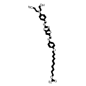 CCC(=O)OCCCCCCCCCCOc1ccc(N=Nc2cc3sc(N=Nc4ccc(N(CCO)CCC#N)cc4)nc3s2)cc1